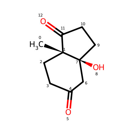 C[C@]12CCC(=O)C[C@@]1(O)CCC2=O